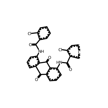 O=C(Nc1cccc2c1C(=O)c1c(NC(=O)c3ccccc3Cl)cccc1C2=O)c1ccccc1Cl